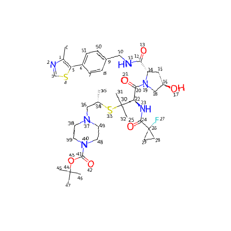 Cc1ncsc1-c1ccc(CNC(=O)[C@@H]2C[C@@H](O)CN2C(=O)[C@@H](NC(=O)C2(F)CC2)C(C)(C)S[C@@H](C)CN2CCN(C(=O)OC(C)(C)C)CC2)cc1